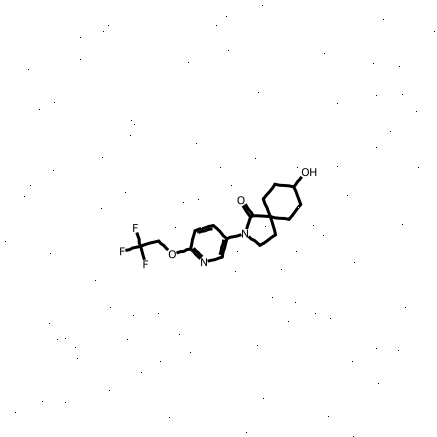 O=C1N(c2ccc(OCC(F)(F)F)nc2)CCC12CCC(O)CC2